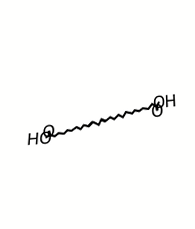 O=C(O)CCCCCCCCC=CCC=CCCCCCCCCCCCC(=O)O